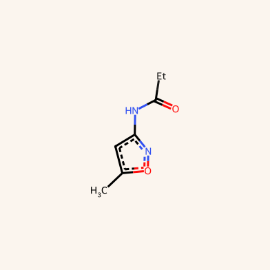 CCC(=O)Nc1cc(C)on1